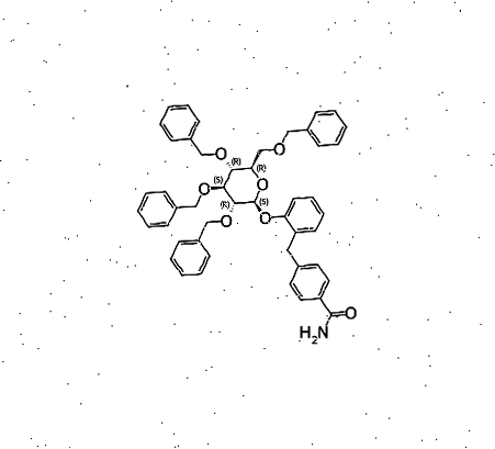 NC(=O)c1ccc(Cc2ccccc2O[C@@H]2O[C@H](COCc3ccccc3)[C@@H](OCc3ccccc3)[C@H](OCc3ccccc3)[C@H]2OCc2ccccc2)cc1